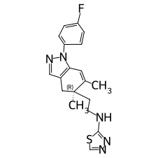 CC1=Cc2c(cnn2-c2ccc(F)cc2)C[C@]1(C)CCNc1nncs1